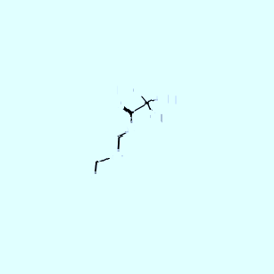 CCOCOC(=O)C(C)(C)C